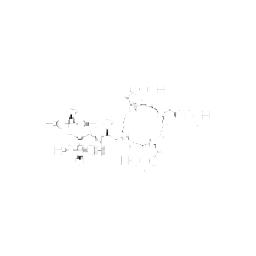 O=C(O)CN1CCN(CC(=O)O)CCN(CC(=O)NCC(CP(=O)(O)O)P(=O)(O)O)CCN(CC(=O)O)CC1